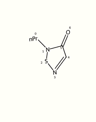 CCCn1sncc1=O